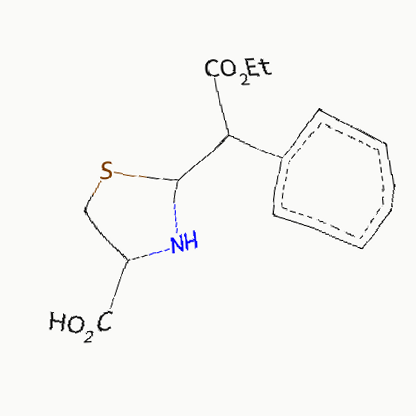 CCOC(=O)C(c1ccccc1)C1NC(C(=O)O)CS1